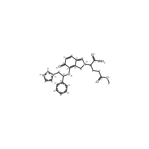 COC(=O)CCC(C(N)=O)N1C=C2C=CC(=O)C(OC(Cn3ccnn3)c3ccccc3)=C2C1